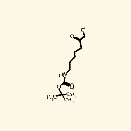 CC(C)(C)OC(=O)NCCCCCC(=O)CCl